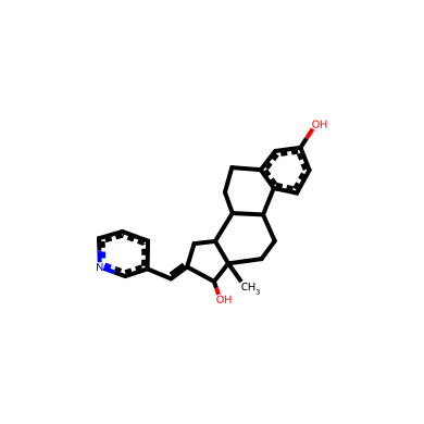 CC12CCC3c4ccc(O)cc4CCC3C1C/C(=C\c1cccnc1)C2O